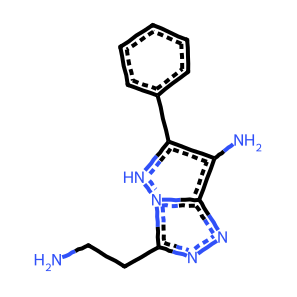 NCCc1nnc2c(N)c(-c3ccccc3)[nH]n12